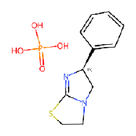 O=P(O)(O)O.c1ccc([C@H]2CN3CCSC3=N2)cc1